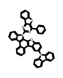 c1ccc(-c2nc(-n3c4ccccc4c4c5ccccc5c5c6cc(-n7c8ccccc8c8ccccc87)ccc6oc5c43)nc3c2sc2ccccc23)cc1